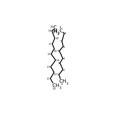 CCCCCCCCCC.CCCCCCCCCCC